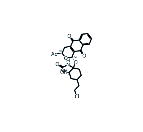 CC(=O)[C@H]1CC2=C(C(=O)c3ccccc3C2=O)[C@H](OC2(NC(N)=O)CCC(CCCl)CC2N=O)O1